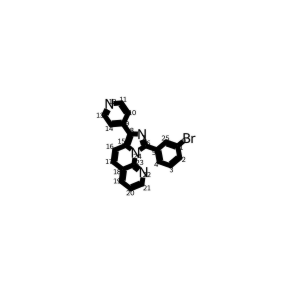 Brc1cccc(-c2nc(-c3ccncc3)c3ccc4cccnc4n23)c1